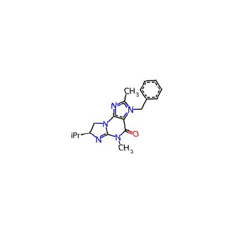 Cc1nc2c(n1Cc1ccccc1)C(=O)N(C)C1=N[C@@H](C(C)C)CN12